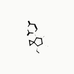 O=c1ccn([C@H]2[C@@H](F)[C@H](O)[C@@H](CO)C23CC3)c(=O)[nH]1